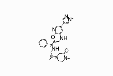 C[C@@H](CN[C@H](c1ccccc1)[C@@H]1CNc2cc(-c3cnn(C)c3)cnc2O1)[C@@H]1CCN(C)C(=O)C1